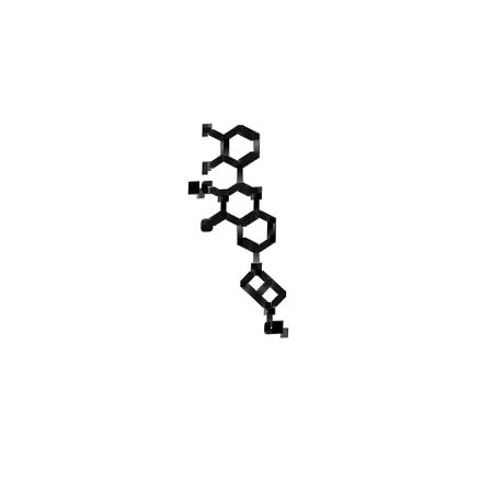 CN1CC2C1CN2c1ccc2nc(-c3cccc(F)c3F)n(C)c(=O)c2c1